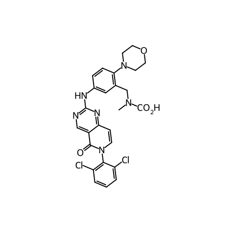 CN(Cc1cc(Nc2ncc3c(=O)n(-c4c(Cl)cccc4Cl)ccc3n2)ccc1N1CCOCC1)C(=O)O